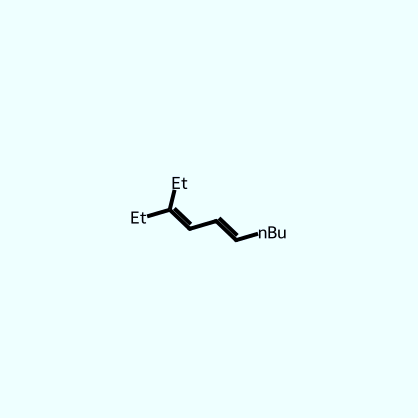 CCCC/C=C/C=C(CC)CC